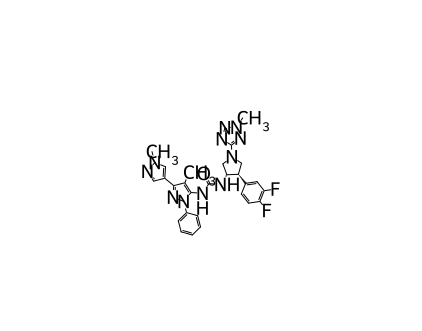 Cc1c(-c2cnn(C)c2)nn(-c2ccccc2)c1NC(=O)N[C@@H]1CN(c2nnn(C)n2)C[C@H]1c1ccc(F)c(F)c1